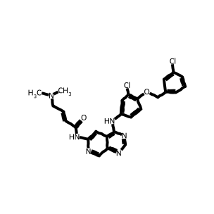 CN(C)C/C=C/C(=O)Nc1cc2c(Nc3ccc(OCc4cccc(Cl)c4)c(Cl)c3)ncnc2cn1